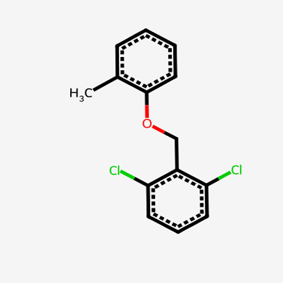 Cc1ccccc1OCc1c(Cl)cccc1Cl